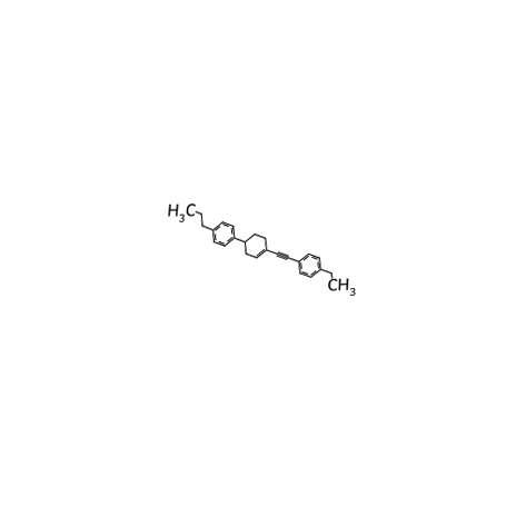 CCCc1ccc(C2CC=C(C#Cc3ccc(CC)cc3)CC2)cc1